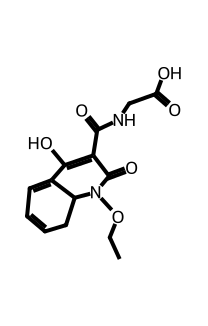 CCON1C(=O)C(C(=O)NCC(=O)O)=C(O)C2=CC=CCC21